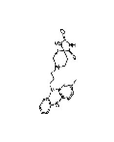 Cc1ccc2c(c1)N(CCCN1CCC3(CC1)NC(=O)NC3=O)c1ccccc1S2